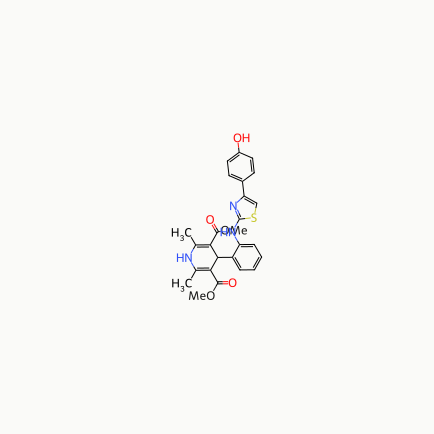 COC(=O)C1=C(C)NC(C)=C(C(=O)OC)C1c1ccccc1Nc1nc(-c2ccc(O)cc2)cs1